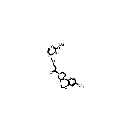 C=C[C@@H](COCCC(=O)N1CCN2c3ncc(C(F)(F)F)cc3OCCC2C1)NC(=O)OC(C)(C)C